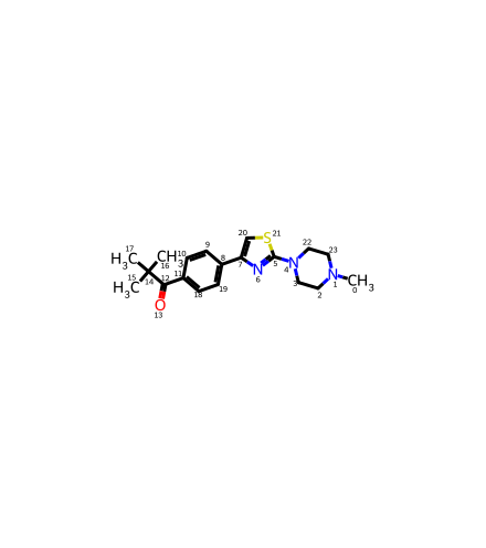 CN1CCN(c2nc(-c3ccc(C(=O)C(C)(C)C)cc3)cs2)CC1